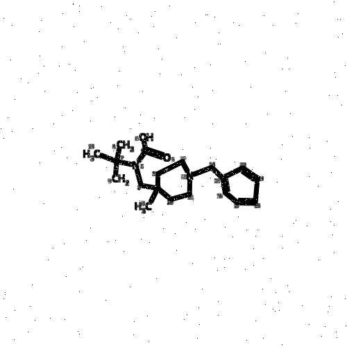 CC1(CN(C(=O)O)C(C)(C)C)CCN(Cc2ccccc2)CC1